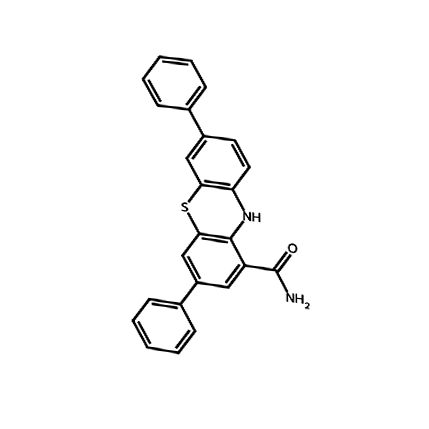 NC(=O)c1cc(-c2ccccc2)cc2c1Nc1ccc(-c3ccccc3)cc1S2